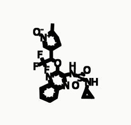 Cc1ccc(C(Oc2nc3ccccc3nc2NS(=O)(=O)NC2CC2)C(F)(F)F)c[n+]1[O-]